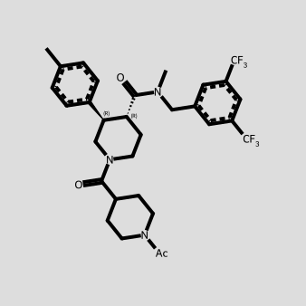 CC(=O)N1CCC(C(=O)N2CC[C@@H](C(=O)N(C)Cc3cc(C(F)(F)F)cc(C(F)(F)F)c3)[C@H](c3ccc(C)cc3)C2)CC1